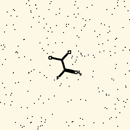 C=C(F)C(Cl)Cl